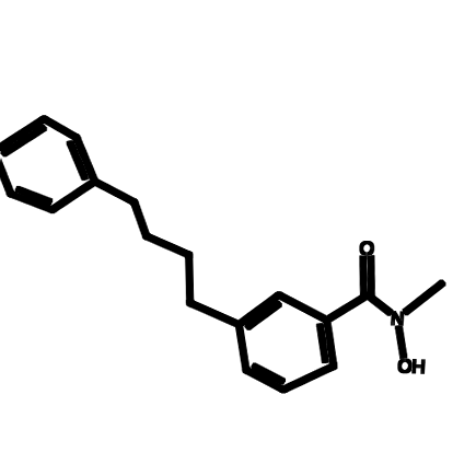 CN(O)C(=O)c1cccc(CCCCc2ccccc2)c1